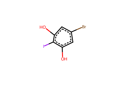 Oc1cc(Br)cc(O)c1I